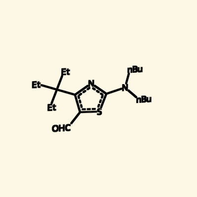 CCCCN(CCCC)c1nc(C(CC)(CC)CC)c(C=O)s1